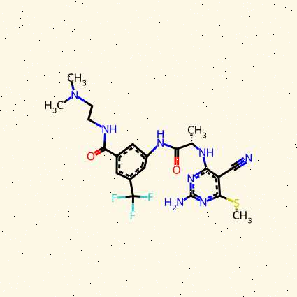 CSc1nc(N)nc(N[C@@H](C)C(=O)Nc2cc(C(=O)NCCN(C)C)cc(C(F)(F)F)c2)c1C#N